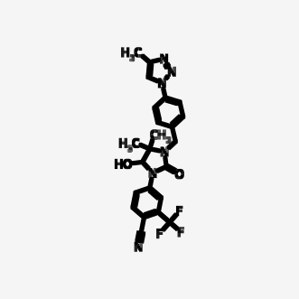 Cc1cn(-c2ccc(CN3C(=O)N(c4ccc(C#N)c(C(F)(F)F)c4)C(O)C3(C)C)cc2)nn1